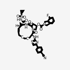 N#Cc1ccc(-c2csc(N[C@H]3CCCCC/C=C\[C@@H]4C[C@@]4(C(=O)NS(=O)(=O)C4CC4)NC(=O)[C@@H]4C[C@@H](OC(=O)N5Cc6cccc(F)c6C5)CN4C3=O)n2)cc1